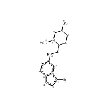 CC(C)(C)C1CCC(CNc2ccc3ncc(Br)n3n2)N(C(=O)O)C1